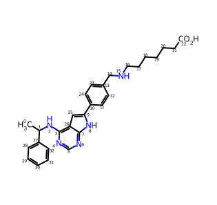 CC(Nc1ncnc2[nH]c(-c3ccc(CNCCCCCCC(=O)O)cc3)cc12)c1ccccc1